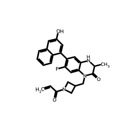 C=CC(=O)N1CC(CN2C(=O)C(C)Nc3cc(-c4cc(O)cc5ccccc45)c(F)cc32)C1